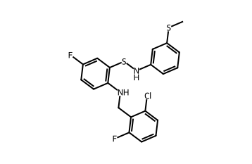 CSc1cccc(NSc2cc(F)ccc2NCc2c(F)cccc2Cl)c1